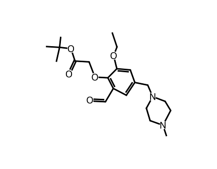 CCOc1cc(CN2CCN(C)CC2)cc(C=O)c1OCC(=O)OC(C)(C)C